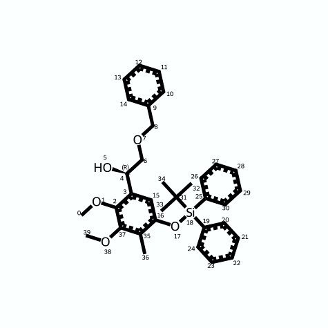 COc1c([C@@H](O)COCc2ccccc2)cc(O[Si](c2ccccc2)(c2ccccc2)C(C)(C)C)c(C)c1OC